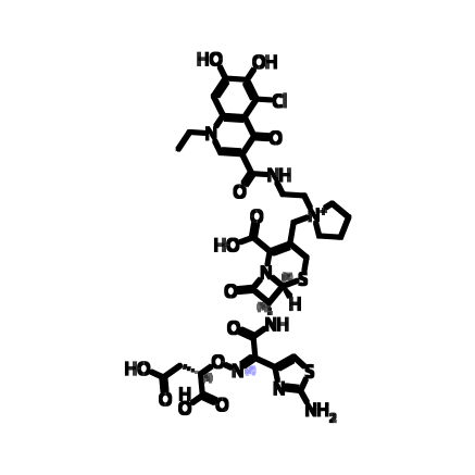 CCn1cc(C(=O)NCC[N+]2(CC3=C(C(=O)O)N4C(=O)[C@@H](NC(=O)/C(=N\O[C@@H](CC(=O)O)C(=O)O)c5csc(N)n5)[C@H]4SC3)CCCC2)c(=O)c2c(Cl)c(O)c(O)cc21